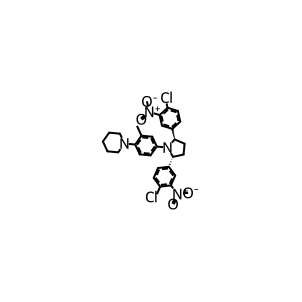 Cc1cc(N2[C@@H](c3ccc(Cl)c([N+](=O)[O-])c3)CC[C@@H]2c2ccc(Cl)c([N+](=O)[O-])c2)ccc1N1CCCCC1